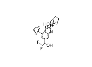 O=C(O)N1C2CCC1CN(c1nc3cc(C(O)C(F)F)cc(-c4nccs4)c3o1)C2